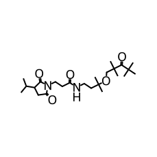 CC(C)C1CC(=O)N(CCC(=O)NCCC(C)(C)OCC(C)(C)C(=O)C(C)(C)C)C1=O